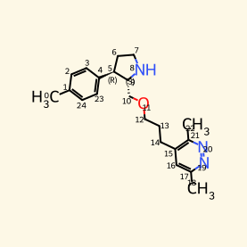 Cc1ccc([C@H]2CCN[C@@H]2COCCCc2cc(C)nnc2C)cc1